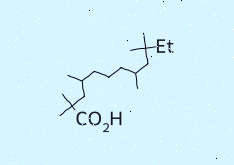 CCC(C)(C)CC(C)CCCC(C)CC(C)(C)C(=O)O